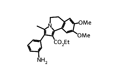 CCOC(=O)c1c(-c2cccc(N)c2)c(C)n2c1-c1cc(OC)c(OC)cc1CC2